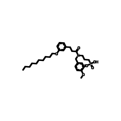 CCCCCCCCCCOc1cccc(CCC(=O)N(CCCP(=O)(O)O)Cc2ccc(OC)cc2)c1